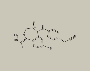 CC1=C2c3ccc(Br)cc3C(Nc3ccc(CC#N)cc3)[C@H](C)CN2NN1